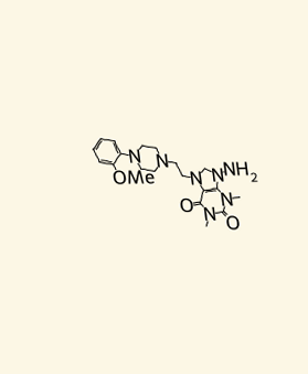 COc1ccccc1N1CCN(CCN2CN(N)c3c2c(=O)n(C)c(=O)n3C)CC1